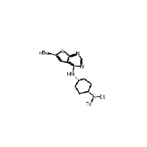 CCCCc1cc2c(N[C@H]3CC[C@H](N(CC)CC)CC3)ncnc2s1